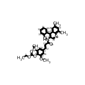 CCOC(=O)Oc1c(OC)cc(/C=C/C(=O)Nc2cnc3c(C)cc(C)cc3c2-c2ccccc2Cl)cc1OC